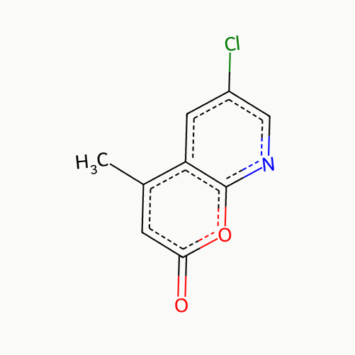 Cc1cc(=O)oc2ncc(Cl)cc12